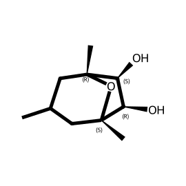 CC1C[C@@]2(C)O[C@@](C)(C1)[C@H](O)[C@@H]2O